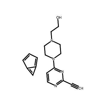 C#Cc1nccc(N2CCN(CCO)CC2)n1.c1cc2cc-2c1